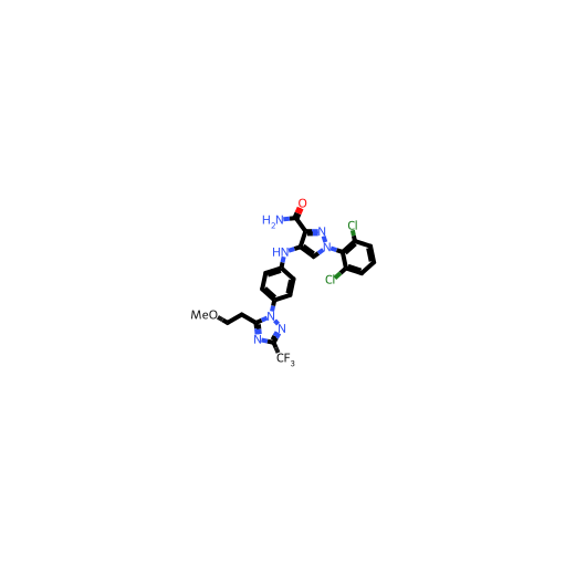 COCCc1nc(C(F)(F)F)nn1-c1ccc(Nc2cn(-c3c(Cl)cccc3Cl)nc2C(N)=O)cc1